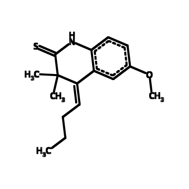 CCC/C=C1/c2cc(OC)ccc2NC(=S)C1(C)C